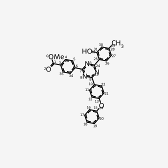 COC(=O)c1ccc(-c2nc(-c3ccc(Oc4ccccc4)cc3)nc(-c3ccc(C)cc3O)n2)cc1